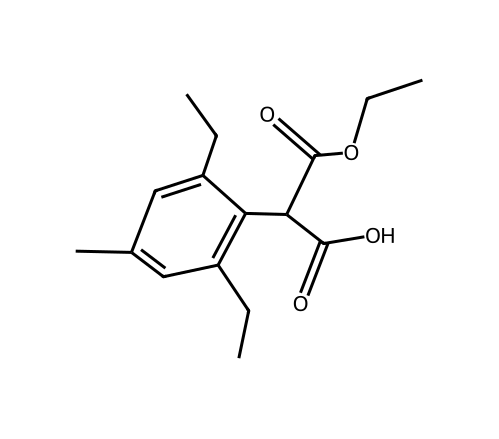 CCOC(=O)C(C(=O)O)c1c(CC)cc(C)cc1CC